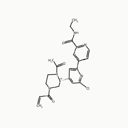 C=CC(=O)N1CCN(C(C)=O)[C@H](c2cc(Cl)nc(-c3ccnc(C(=O)NCC)c3)c2)C1